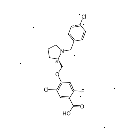 O=C(O)c1cc(Cl)c(OC[C@H]2CCCN2Cc2ccc(Cl)cc2)cc1F